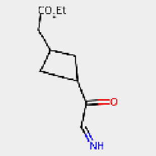 CCOC(=O)CC1CC(C(=O)C=N)C1